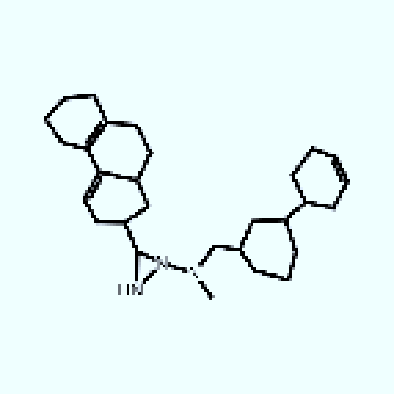 CN(CC1CCCC(C2CC=CCC2)C1)N1NC1C1CC=C2C3=C(CCCC3)CCC2C1